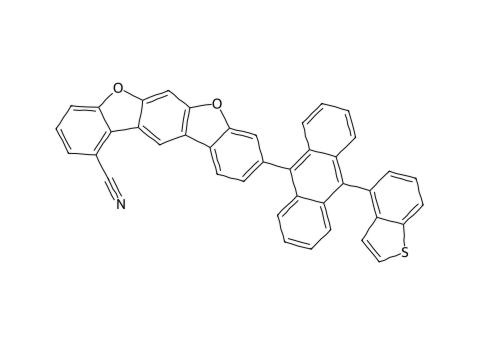 N#Cc1cccc2oc3cc4oc5cc(-c6c7ccccc7c(-c7cccc8sccc78)c7ccccc67)ccc5c4cc3c12